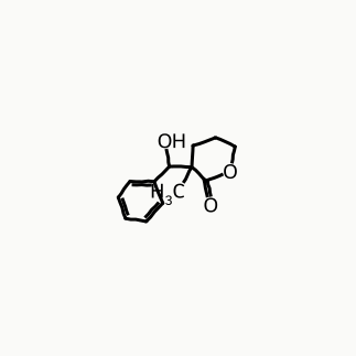 CC1(C(O)c2ccccc2)CCCOC1=O